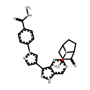 CNC(=O)c1ccc(-n2cc(-c3n[nH]c4cnc(N5C6CCC5C(=O)N(C)C6)nc34)cn2)cc1